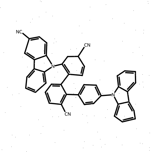 N#Cc1ccc2c(c1)c1ccccc1n2C1=C(c2cccc(C#N)c2-c2ccc(-n3c4ccccc4c4ccccc43)cc2)C=CC(C#N)C1